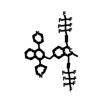 Cc1cc(C#CC(F)(F)C(F)(F)C(F)(F)F)c2ccc(Cc3cc(-c4ccncc4)c4ccccc4c3-c3ccncc3)cc2c1C#CC(F)(F)C(F)(F)C(F)(F)F